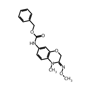 CON=C1COc2cc(NC(=O)OCc3ccccc3)ccc2N1C